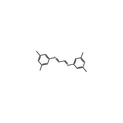 Cc1cc(C)cc(N=CC=Nc2cc(C)cc(C)c2)c1